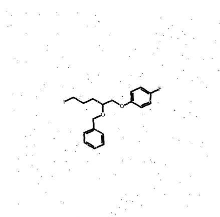 Fc1ccc(OCC(CCCI)OCc2ccccc2)cc1